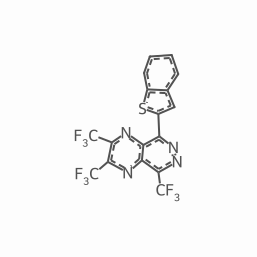 FC(F)(F)c1nc2c(-c3cc4ccccc4s3)nnc(C(F)(F)F)c2nc1C(F)(F)F